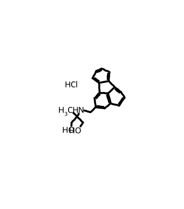 CC(CO)(CO)NCc1cc2c3c(cccc3c1)-c1ccccc1-2.Cl